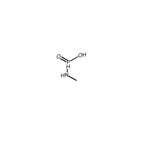 CN[PH](=O)O